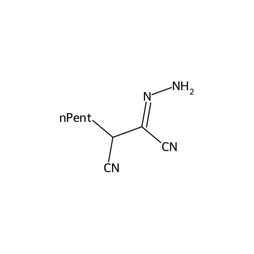 CCCCCC(C#N)C(C#N)=NN